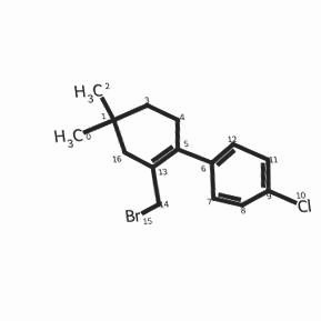 CC1(C)CCC(c2ccc(Cl)cc2)=C(CBr)C1